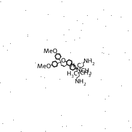 COc1ccc(C2(c3ccc(OC)cc3)C=Cc3c(ccc4cc(N(C(C)(C)CCN)C(C)(C)CCN)ccc34)O2)cc1